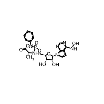 C[C@@H](NP(=O)(OC[C@H]1O[C@@H](n2ccc3c(NO)ncnc32)[C@H](O)[C@@H]1O)Oc1ccccc1)C(=O)O